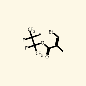 CCC=C(C)C(=O)OC(F)(C(F)(F)F)C(F)(F)C(F)(F)F